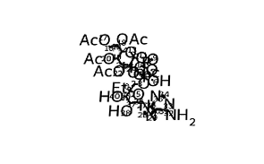 CCC1(COP(=O)(O)OP(=O)(O)OC2OC([C@@H](COC(C)=O)OC(C)=O)C(OC(C)=O)C(OC(C)=O)C2OC(C)=O)OC(n2cnc3c(N)ncnc32)C(O)[C@H]1O